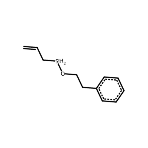 C=CC[SiH2]OCCc1ccccc1